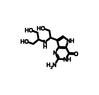 Nc1nc2c(C(CO)NC(CO)CO)c[nH]c2c(=O)[nH]1